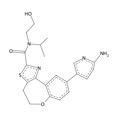 CC(C)N(CCO)C(=O)c1nc2c(s1)CCOc1ccc(-c3ccc(N)nc3)cc1-2